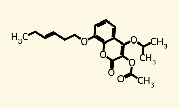 CC/C=C/CCOc1cccc2c(OC(C)C)c(OC(C)=O)c(=O)oc12